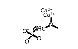 CN(C)C=O.[Ca+2].[Ca+2].[O-][Si]([O-])([O-])[O-]